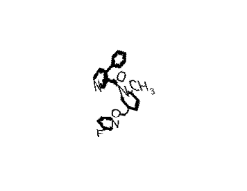 C[C@@H]1CC[C@@H](COc2ccc(F)cn2)CN1C(=O)c1cnccc1-c1ccccc1